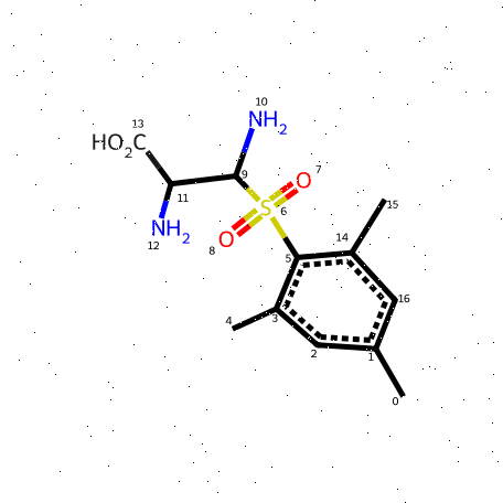 Cc1cc(C)c(S(=O)(=O)C(N)C(N)C(=O)O)c(C)c1